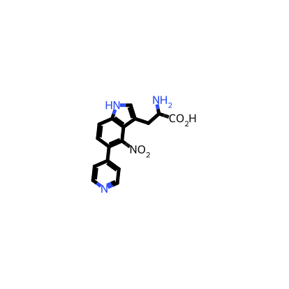 NC(Cc1c[nH]c2ccc(-c3ccncc3)c([N+](=O)[O-])c12)C(=O)O